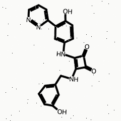 O=c1c(NCc2cccc(O)c2)c(Nc2ccc(O)c(-c3cccnn3)c2)c1=O